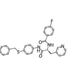 O=C(N[C@@H](Cc1cccnc1)C(=O)Nc1ccc(SCc2ccccc2)cc1)c1ccc(F)cc1